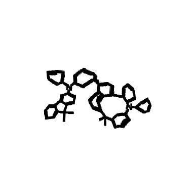 CC1(C)c2cccc(c2)N(c2ccccc2)c2ccccc2-c2ccc(-c3cccc(N(c4ccccc4)c4ccc5c(c4)-c4ccccc4C5(C)C)c3)c3ccc1cc23